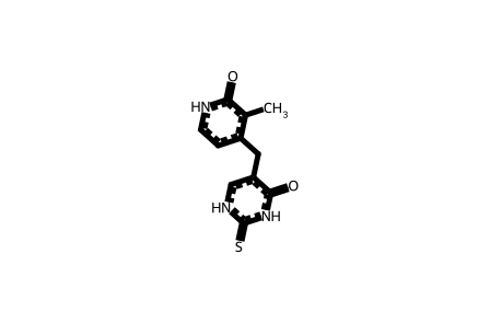 Cc1c(Cc2c[nH]c(=S)[nH]c2=O)cc[nH]c1=O